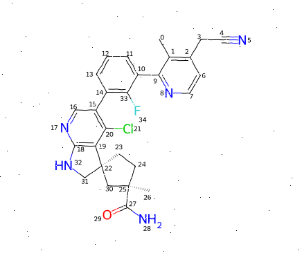 Cc1c(CC#N)ccnc1-c1cccc(-c2cnc3c(c2Cl)[C@]2(CC[C@@](C)(C(N)=O)C2)CN3)c1F